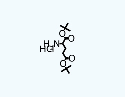 CC(C)(C)OC(=O)CCC(N)C(=O)OC(C)(C)C.Cl